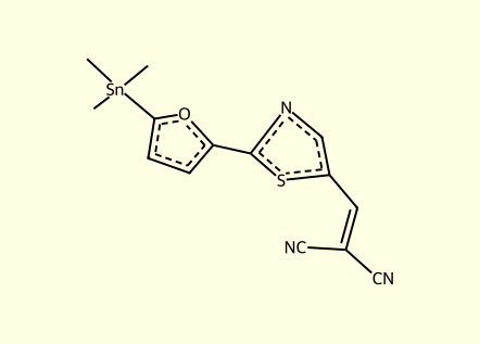 [CH3][Sn]([CH3])([CH3])[c]1ccc(-c2ncc(C=C(C#N)C#N)s2)o1